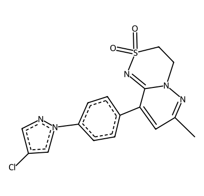 CC1=NN2CCS(=O)(=O)N=C2C(c2ccc(-n3cc(Cl)cn3)cc2)=C1